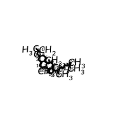 C=C(C)OC1CC[C@@]2(C)C(=C[C@@H](C)C3C4CCC(C(C)CCCC(C)C)[C@@]4(C)CCC32)C1